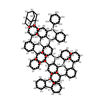 c1ccc(-c2cccc(-c3ccccc3)c2N2c3ccccc3B3c4cc5c(cc4N(c4ccccc4)c4cc(C6c7ccccc7-c7ccccc76)cc2c43)N(c2c(-c3ccccc3)cccc2-c2ccccc2)c2cc(N3C4CC6CC(C4)CC3C6)cc3c2B5c2ccccc2N3c2ccccc2)cc1